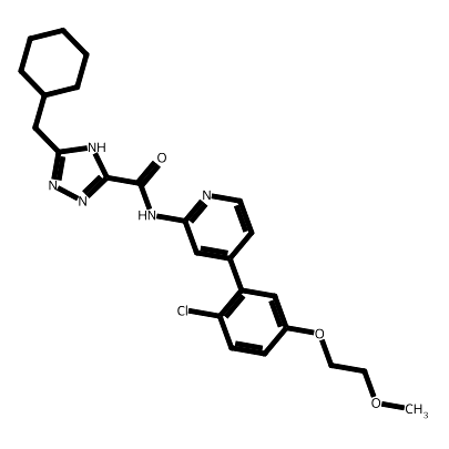 COCCOc1ccc(Cl)c(-c2ccnc(NC(=O)c3nnc(CC4CCCCC4)[nH]3)c2)c1